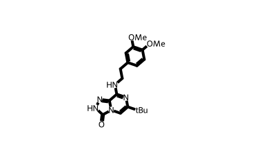 COc1ccc(CCNc2nc(C(C)(C)C)cn3c(=O)[nH]nc23)cc1OC